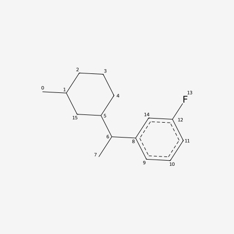 CC1CCCC(C(C)c2cccc(F)c2)C1